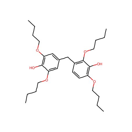 CCCCOc1cc(Cc2ccc(OCCCC)c(O)c2OCCCC)cc(OCCCC)c1O